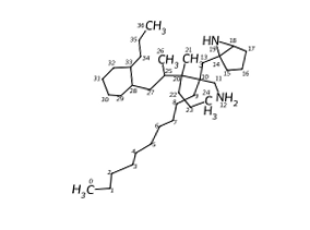 CCCCCCCCCCC(CN)(CC12CCCC1N2)C(C)(CCC)C(C)CC1CCCCC1CCC